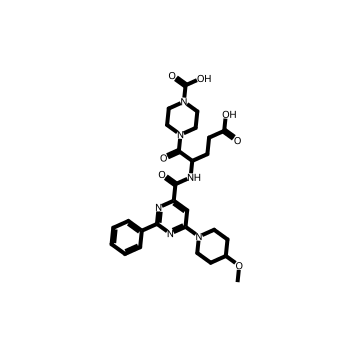 COC1CCN(c2cc(C(=O)NC(CCC(=O)O)C(=O)N3CCN(C(=O)O)CC3)nc(-c3ccccc3)n2)CC1